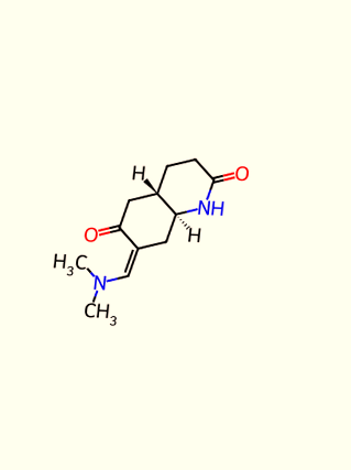 CN(C)C=C1C[C@@H]2NC(=O)CC[C@H]2CC1=O